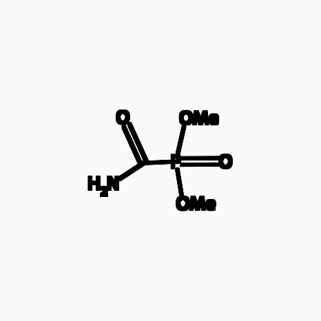 COP(=O)(OC)C(N)=O